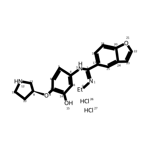 CCN=C(Nc1ccc(O[C@H]2CCNC2)c(O)c1)c1ccc2occc2c1.Cl.Cl